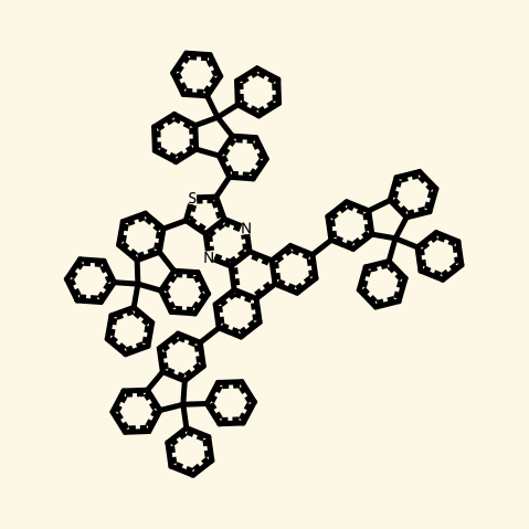 c1ccc(C2(c3ccccc3)c3ccccc3-c3ccc(-c4ccc5c6ccc(-c7ccc8c(c7)C(c7ccccc7)(c7ccccc7)c7ccccc7-8)cc6c6nc7c(-c8cccc9c8-c8ccccc8C9(c8ccccc8)c8ccccc8)sc(-c8cccc9c8-c8ccccc8C9(c8ccccc8)c8ccccc8)c7nc6c5c4)cc32)cc1